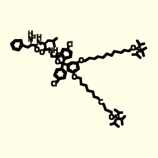 CC(C)C[C@H](NC(=O)[C@@H](N)Cc1ccccc1)C(=O)NCC(=O)OC(c1ccc(Cl)cc1)(c1ccc(Cl)cc1)c1cc(OCCCCCCCCCCCO[Si](C(C)C)(C(C)C)C(C)C)cc(OCCCCCCCCCCCO[Si](C(C)C)(C(C)C)C(C)C)c1